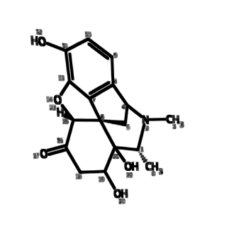 C[C@H]1N(C)C2C[C@]34c5c2ccc(O)c5O[C@H]3C(=O)CC(O)C14O